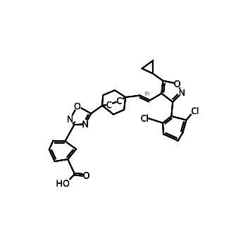 O=C(O)c1cccc(-c2noc(C34CCC(/C=C/c5c(-c6c(Cl)cccc6Cl)noc5C5CC5)(CC3)CC4)n2)c1